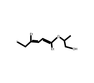 CC/C(=C\C=C(/CC)OC(C)CO)CI